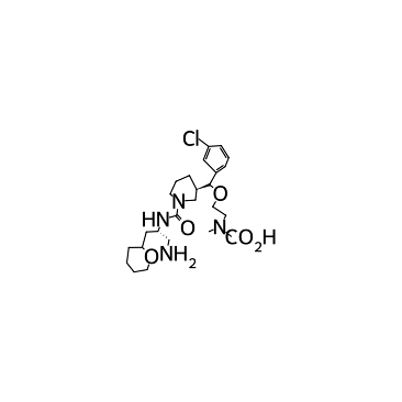 CN(CCOC(c1cccc(Cl)c1)[C@@H]1CCCN(C(=O)N[C@H](CN)CC2CCCCO2)C1)C(=O)O